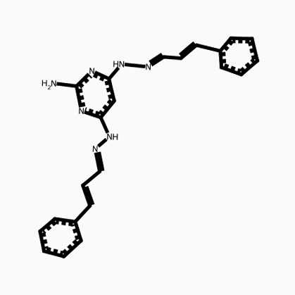 Nc1nc(NN=CC=Cc2ccccc2)cc(NN=CC=Cc2ccccc2)n1